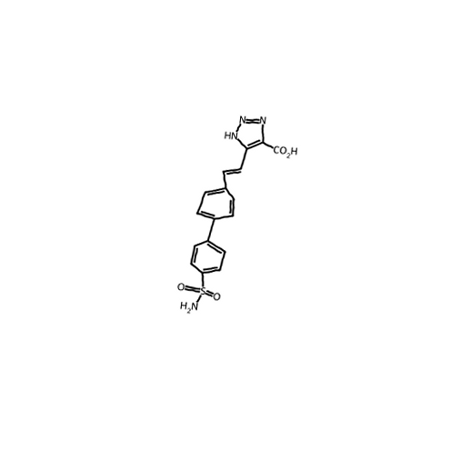 NS(=O)(=O)c1ccc(-c2ccc(C=Cc3[nH]nnc3C(=O)O)cc2)cc1